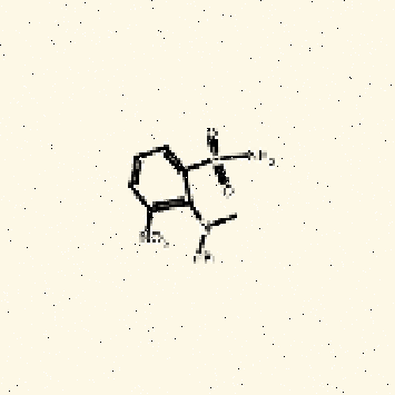 CCCN(C)c1c([N+](=O)[O-])cccc1S(N)(=O)=O